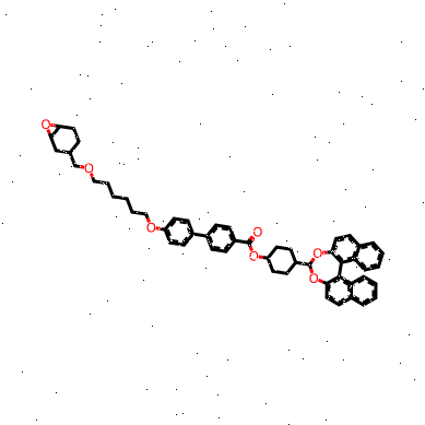 O=C(OC1CCC(C2Oc3ccc4ccccc4c3-c3c(ccc4ccccc34)O2)CC1)c1ccc(-c2ccc(OCCCCCCOCC3CCC4OC4C3)cc2)cc1